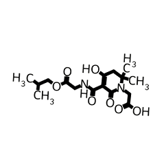 CC(C)COC(=O)CNC(=O)C1=C(O)CC(C)(C)N(CC(=O)O)C1=O